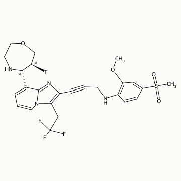 COc1cc(S(C)(=O)=O)ccc1NCC#Cc1nc2c([C@@H]3NCCOC[C@H]3F)cccn2c1CC(F)(F)F